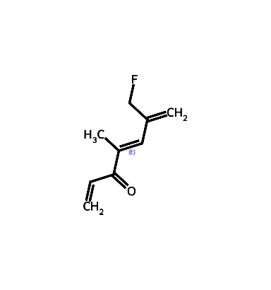 C=CC(=O)/C(C)=C/C(=C)CF